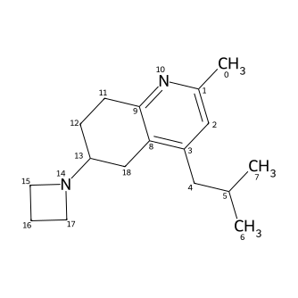 Cc1cc(CC(C)C)c2c(n1)CCC(N1CCC1)C2